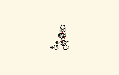 Cc1c(C(=O)NC2CC3CCC(C2)N3c2ccc(C(=O)N[C@@]3(C)CCNC3)cn2)ccc2c1OCC2